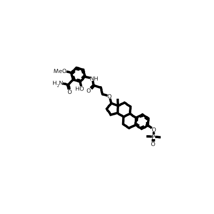 COc1ccc(NC(=O)CCOC2CCC3C4CCc5cc(OP(C)(C)=O)ccc5C4CCC23C)c(O)c1C(N)=O